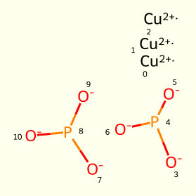 [Cu+2].[Cu+2].[Cu+2].[O-]P([O-])[O-].[O-]P([O-])[O-]